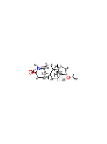 C=COC1CC[C@H]2[C@@H]3CC=C4N(C)C(=O)CC[C@]4(C)[C@@H]3CC[C@]12C